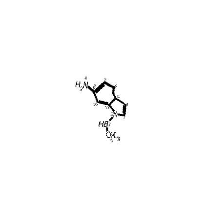 CBN1C=CC2CC=C(N)C=C21